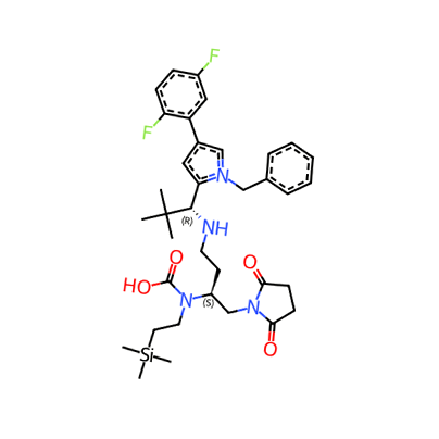 CC(C)(C)[C@@H](NCC[C@@H](CN1C(=O)CCC1=O)N(CC[Si](C)(C)C)C(=O)O)c1cc(-c2cc(F)ccc2F)cn1Cc1ccccc1